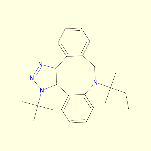 CCC(C)(C)N1Cc2ccccc2C2N=NN(C(C)(C)C)C2c2ccccc21